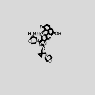 C#Cc1c(F)ccc2cc(O)cc(-c3ncc4c(N5CCOC[C@H](N)C5)nc(OCC5(CN6CCOCC6)CC5)nc4c3F)c12